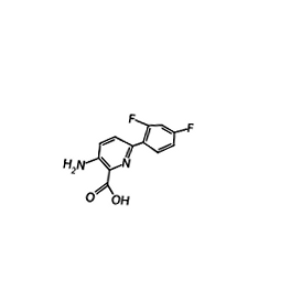 Nc1ccc(-c2ccc(F)cc2F)nc1C(=O)O